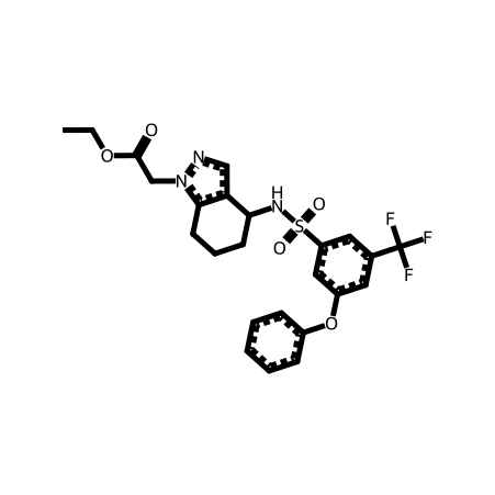 CCOC(=O)Cn1ncc2c1CCCC2NS(=O)(=O)c1cc(Oc2ccccc2)cc(C(F)(F)F)c1